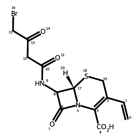 C=CC1=C(C(=O)O)N2C(=O)C(NC(=O)CC(=O)CBr)[C@@H]2SC1